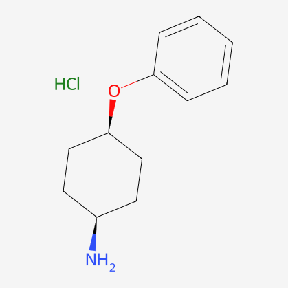 Cl.N[C@H]1CC[C@@H](Oc2ccccc2)CC1